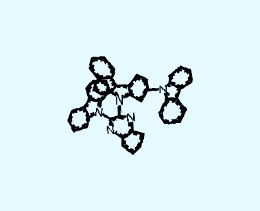 c1ccc2c(c1)ccc1c2c2ccc(-n3c4ccccc4c4ccccc43)cc2n1-c1nc2ccccc2nc1-n1c2ccccc2c2ccccc21